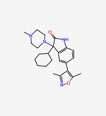 Cc1noc(C)c1-c1ccc2c(c1)C(C1CCCCC1)(N1CCN(C)CC1)C(=O)N2